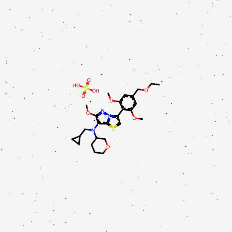 CCOCc1cc(OC)c(-c2csc3c(N(CC4CC4)C4CCCOC4)c(OC)nn23)c(OC)c1.O=S(=O)(O)O